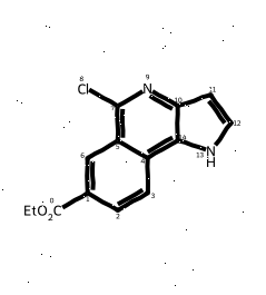 CCOC(=O)c1ccc2c(c1)c(Cl)nc1cc[nH]c12